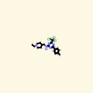 CCN1CCC(CNc2nc(-c3ccc(C)cc3)nc(C(Cl)(Cl)Cl)n2)CC1